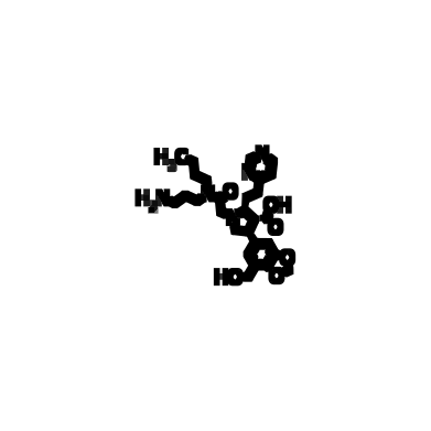 CCCCN(CCCN)C(=O)CN1C[C@H](c2cc(CO)c3c(c2)OCO3)[C@@H](C(=O)O)[C@@H]1CCc1ccncn1